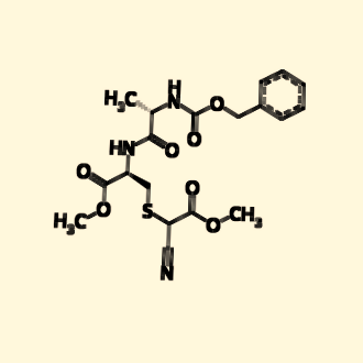 COC(=O)C(C#N)SC[C@H](NC(=O)[C@H](C)NC(=O)OCc1ccccc1)C(=O)OC